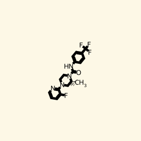 C[C@@H]1CN(c2ncccc2F)CCN1C(=O)Nc1ccc(C(F)(F)F)cc1